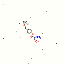 NC(CO)C(=O)Oc1ccc(CCO[N+](=O)[O-])cc1